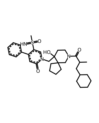 CC(CC1CCCCC1)C(=O)N1CCC(O)(Cn2cc(S(C)(=N)=O)c(-c3ccccc3)cc2=O)C2(CCCC2)C1